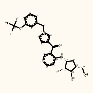 O=C(c1ccn(Cc2cccc(OC(F)(F)F)c2)c1)c1cnccc1N[C@@H]1C[C@H](CO)[C@@H](O)[C@@H]1F